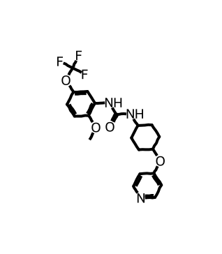 COc1ccc(OC(F)(F)F)cc1NC(=O)NC1CCC(Oc2ccncc2)CC1